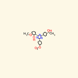 COc1cccc(-c2nc(-c3ccc(OC4CO4)cc3)nc(-c3ccc(C(C)O)cc3)n2)c1O